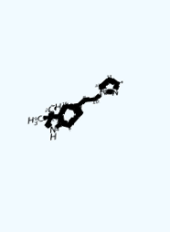 CC1(C)CNc2ccc(CCn3cccn3)cc21